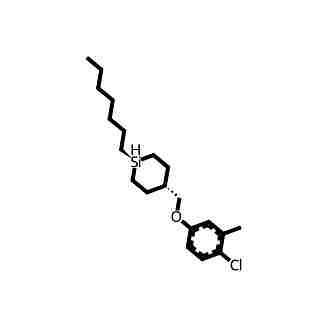 CCCCCCC[Si@H]1CC[C@H](COc2ccc(Cl)c(C)c2)CC1